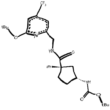 CC(C)[C@]1(C(=O)NCc2cc(C(F)(F)F)cc(OC(C)(C)C)n2)CC[C@@H](NC(=O)OC(C)(C)C)C1